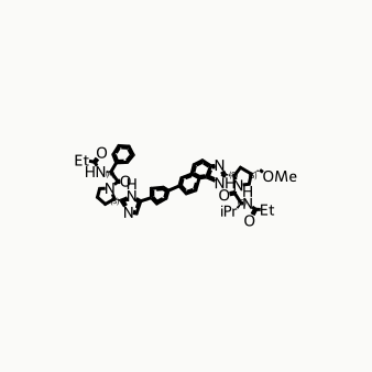 CCC(=O)N[C@H](C(=O)N1C[C@@H](COC)C[C@H]1c1nc2ccc3cc(-c4ccc(-c5cnc([C@@H]6CCCN6C(=O)[C@H](NC(=O)CC)c6ccccc6)[nH]5)cc4)ccc3c2[nH]1)C(C)C